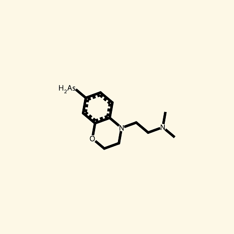 CN(C)CCN1CCOc2cc([AsH2])ccc21